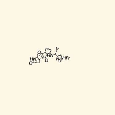 CC(C)n1cc(C(Nc2cccc3c2C(=O)N(C24CC(C2)C(=O)NC4=O)C3=O)C2CC2)nn1